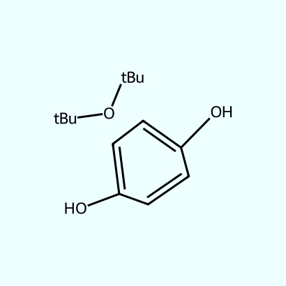 CC(C)(C)OC(C)(C)C.Oc1ccc(O)cc1